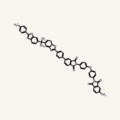 Cc1ccc(-c2nc3ccc(C(C)(C4=CCC5OC(c6ccc(-c7ccc8c(c7)C(=O)N(c7ccc(Oc9ccc(N%10C(=O)c%11ccc(C)cc%11C%10=O)cc9)cc7)C8=O)cc6)=NC5=C4)C(F)(F)F)cc3o2)cc1